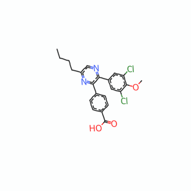 CCCCc1cnc(-c2cc(Cl)c(OC)c(Cl)c2)c(-c2ccc(C(=O)O)cc2)n1